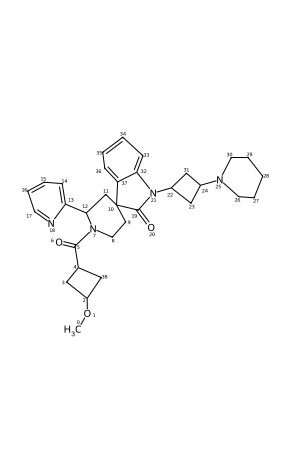 COC1CC(C(=O)N2CCC3(CC2c2ccccn2)C(=O)N(C2CC(N4CCCCC4)C2)c2ccccc23)C1